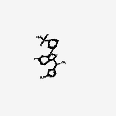 Cc1ccn(C(C)c2nn(-c3cccc(S(C)(=O)=O)c3)c3cc(F)ccc23)n1